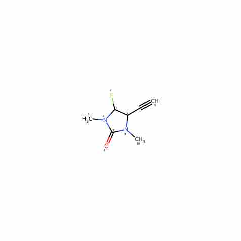 C#CC1C(F)N(C)C(=O)N1C